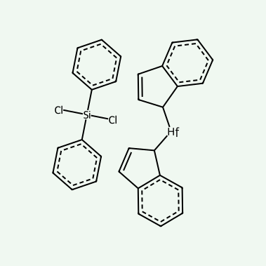 C1=C[CH]([Hf][CH]2C=Cc3ccccc32)c2ccccc21.Cl[Si](Cl)(c1ccccc1)c1ccccc1